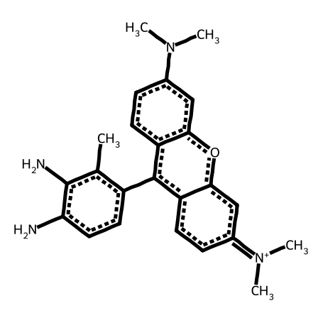 Cc1c(-c2c3ccc(=[N+](C)C)cc-3oc3cc(N(C)C)ccc23)ccc(N)c1N